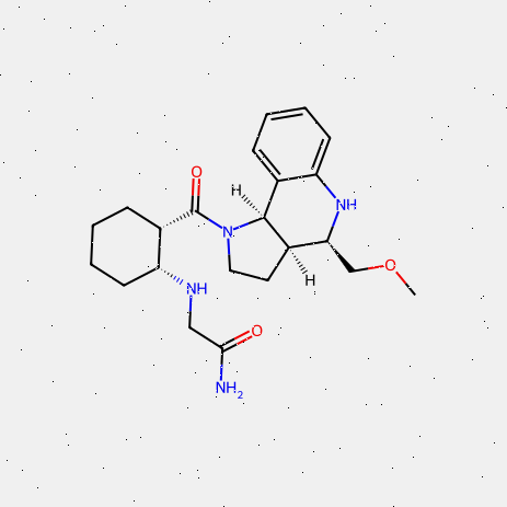 COC[C@@H]1Nc2ccccc2[C@H]2[C@@H]1CCN2C(=O)[C@H]1CCCC[C@H]1NCC(N)=O